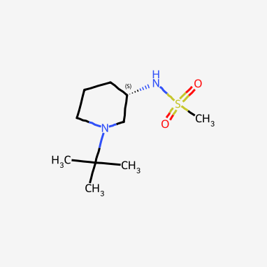 CC(C)(C)N1CCC[C@H](NS(C)(=O)=O)C1